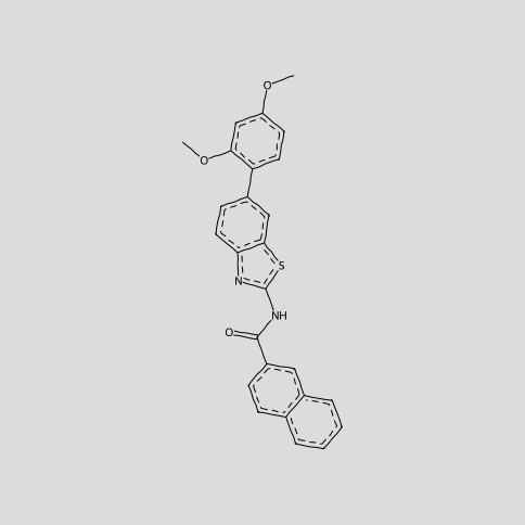 COc1ccc(-c2ccc3nc(NC(=O)c4ccc5ccccc5c4)sc3c2)c(OC)c1